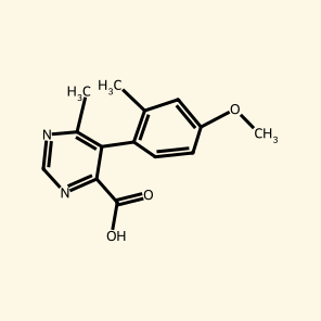 COc1ccc(-c2c(C)ncnc2C(=O)O)c(C)c1